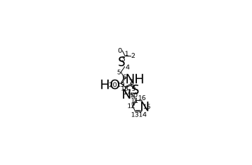 CC(C)SCCc1[nH]c2sc(-c3cccnc3)nc2c1O